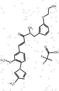 COc1cc(/C=C/C(=O)N(C)Cc2cccc(OCCO)c2)ccc1-n1cnc(C)c1.O=C(O)C(F)(F)F